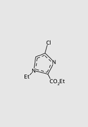 CCOC(=O)c1nc(Cl)cn1CC